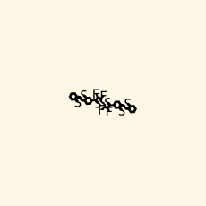 Fc1c(-c2ccc3c(c2)sc2c4ccccc4sc32)sc(-c2sc(-c3ccc4c(c3)sc3c5ccccc5sc43)c(F)c2F)c1F